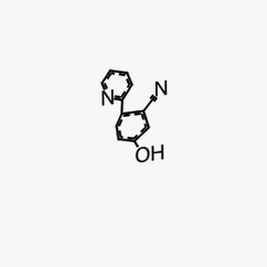 N#Cc1cc(O)ccc1-c1ccccn1